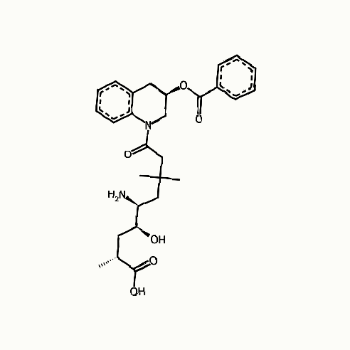 C[C@H](C[C@H](O)[C@@H](N)CC(C)(C)CC(=O)N1C[C@H](OC(=O)c2ccccc2)Cc2ccccc21)C(=O)O